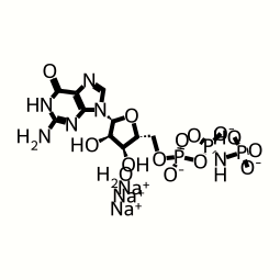 Nc1nc2c(ncn2[C@@H]2O[C@H](COP(=O)([O-])OP(=O)([O-])NP(=O)([O-])O)[C@@H](O)[C@H]2O)c(=O)[nH]1.O.[Na+].[Na+].[Na+]